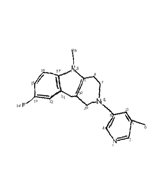 Cc1cncc(N2CCc3c(c4cc(F)ccc4n3C)C2)c1